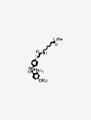 COC(=O)CCCCCNC(=O)COc1ccc(S(=O)(=O)Nc2ccc(OC)cc2N)cc1